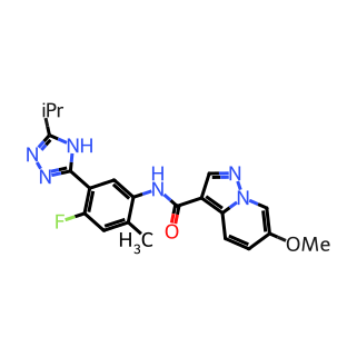 COc1ccc2c(C(=O)Nc3cc(-c4nnc(C(C)C)[nH]4)c(F)cc3C)cnn2c1